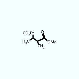 CCOC(=O)C(C)C(C)C(=O)OC